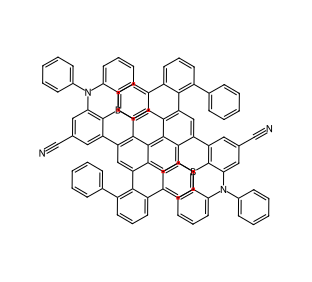 N#Cc1cc2c3c(c1)N(c1ccccc1)c1ccccc1B3c1cc3c(-c4c(-c5ccccc5)cccc4-c4ccccc4)cc4c5c(cc6c(-c7c(-c8ccccc8)cccc7-c7ccccc7)cc-2c1c6c35)B1c2ccccc2N(c2ccccc2)c2cc(C#N)cc-4c21